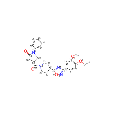 CCOc1ccc(-c2noc(C3CCN(C(=O)C4CC(=O)N(c5ccccc5)C4)CC3)n2)cc1OC